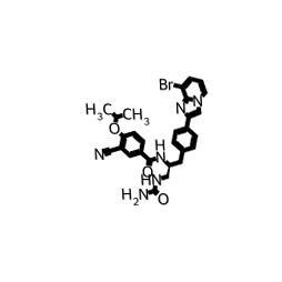 CC(C)Oc1ccc(C(=O)N[C@H](CNC(N)=O)Cc2ccc(-c3cn4cccc(Br)c4n3)cc2)cc1C#N